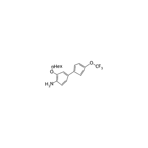 CCCCCCOc1cc(-c2ccc(OC(F)(F)F)cc2)ccc1N